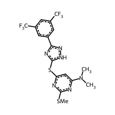 CSc1nc(Sc2nc(-c3cc(C(F)(F)F)cc(C(F)(F)F)c3)n[nH]2)cc(N(C)C)n1